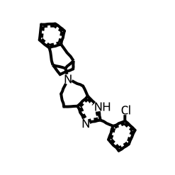 Clc1ccccc1-c1nc2c([nH]1)CN(C1C3CCC1c1ccccc13)CC2